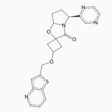 O=C1N2C(CC[C@H]2c2cnccn2)OC12CC(OCc1cc3ncccc3s1)C2